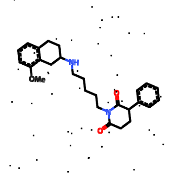 COc1cccc2c1CC(NCCCCCN1C(=O)CCC(c3ccccc3)C1=O)CC2